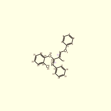 CC(=C\Oc1ccccc1)/C(=N\c1ccccc1)Oc1ccccc1Cl